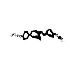 CCCCCCCCCCC1CCC(c2ccc(CCc3ccc(N=C=S)cc3)cc2)CC1